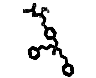 C[C@H](COc1ccc(CP(=O)(CCCc2ccccc2)CCCc2ccccc2)cc1)NC(=O)O